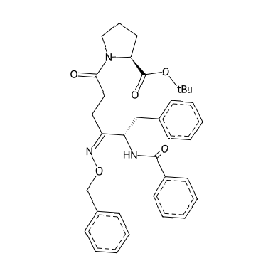 CC(C)(C)OC(=O)[C@@H]1CCCN1C(=O)CCC(=NOCc1ccccc1)[C@H](Cc1ccccc1)NC(=O)c1ccccc1